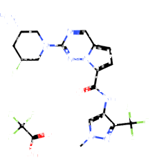 Cn1cc(NC(=O)c2ccc3cnc(N4C[C@@H](N)C[C@H](F)C4)nn23)c(C(F)(F)F)n1.O=C(O)C(F)(F)F